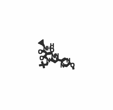 COc1cnc(-c2cc3n(CC(C)(C)C)c(=O)c(C(=O)NC4CC4)c(O)n3n2)cn1